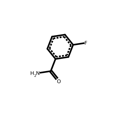 NC(=O)c1cccc(F)c1